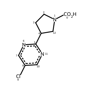 O=C(O)N1CCC(c2ncc(Cl)cn2)C1